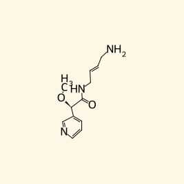 CO[C@@H](C(=O)NC/C=C/CN)c1cccnc1